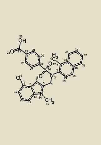 Cc1c(N(Cc2cc3c(Cl)cccc3n2C)S(=O)(=O)c2ccc(C(=O)O)cc2)ncc2ccccc12